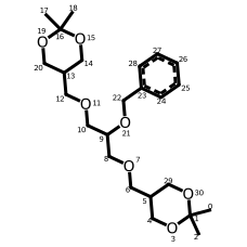 CC1(C)OCC(COCC(COCC2COC(C)(C)OC2)OCc2ccccc2)CO1